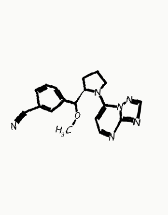 COC(c1cccc(C#N)c1)[C@H]1CCCN1c1ccnc2ncnn12